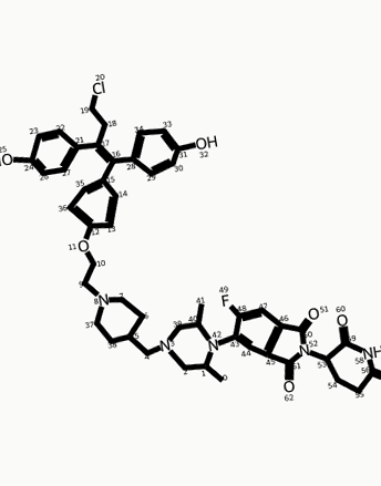 CC1CN(CC2CCN(CCOc3ccc(C(=C(CCCl)c4ccc(O)cc4)c4ccc(O)cc4)cc3)CC2)CC(C)N1c1cc2c(cc1F)C(=O)N(C1CCC(=O)NC1=O)C2=O